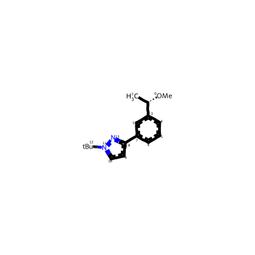 CO[C@@H](C)c1cccc(-c2ccn(C(C)(C)C)n2)c1